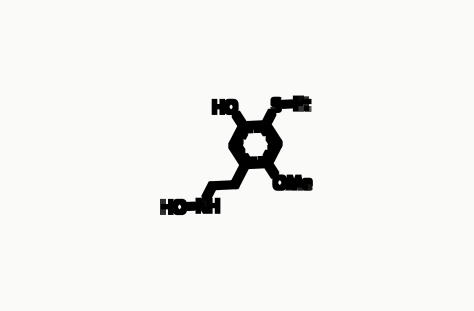 CCSc1cc(OC)c(CCNO)cc1O